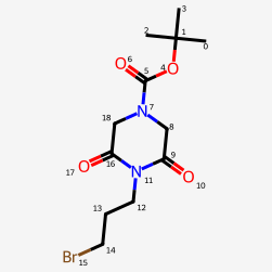 CC(C)(C)OC(=O)N1CC(=O)N(CCCBr)C(=O)C1